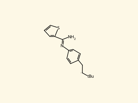 CC(C)(C)[CH]Cc1ccc(N=C(N)c2cccs2)cc1